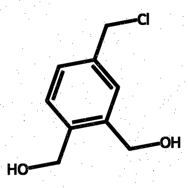 OCc1ccc(CCl)cc1CO